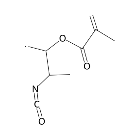 [CH2]C(OC(=O)C(=C)C)C(C)N=C=O